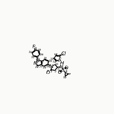 O=C1CC(NS(=O)(=O)C2CC2)[C@@H](c2ccc(Cl)s2)N1c1ccc2c(cnn2-c2ccc(F)cc2)c1